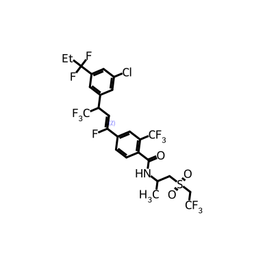 CCC(F)(F)c1cc(Cl)cc(C(/C=C(\F)c2ccc(C(=O)NC(C)CS(=O)(=O)CC(F)(F)F)c(C(F)(F)F)c2)C(F)(F)F)c1